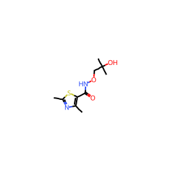 Cc1nc(C)c(C(=O)NOCC(C)(C)O)s1